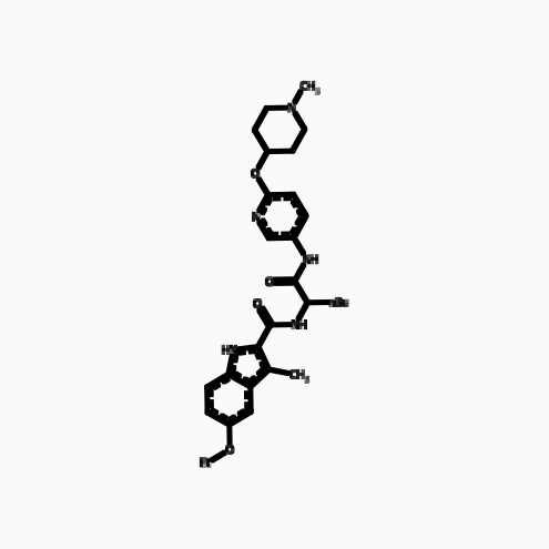 CCCCC(NC(=O)c1[nH]c2ccc(OCC)cc2c1C)C(=O)Nc1ccc(OC2CCN(C)CC2)nc1